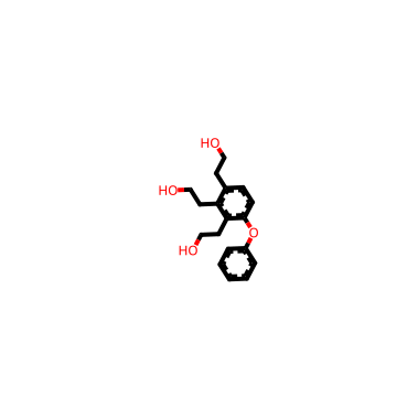 OCCc1ccc(Oc2ccccc2)c(CCO)c1CCO